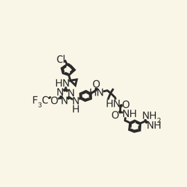 CC(C)(CNC(=O)C(=O)NCc1cccc(C(=N)N)c1)CNC(=O)c1ccc(Nc2nc(NC3(c4ccc(Cl)cc4)CC3)nc(OCC(F)(F)F)n2)cc1